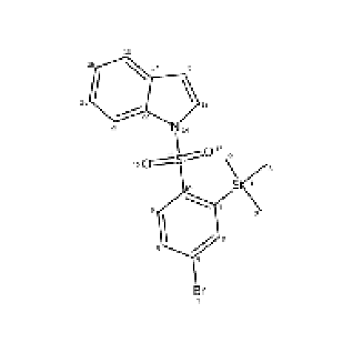 C[Si](C)(C)c1cc(Br)ccc1S(=O)(=O)n1ccc2ccccc21